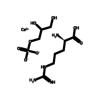 N=C(N)NCCC[C@H](N)C(=O)O.O=P([O-])([O-])OCC(O)CO.[Ca+2]